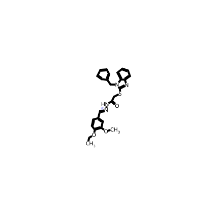 CCOc1ccc(/C=N/NC(=O)CSc2nc3ccccc3n2Cc2ccccc2)cc1OC